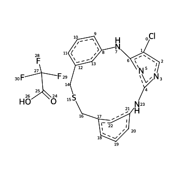 Clc1cnc2nc1Nc1cccc(c1)CSCc1cccc(c1)N2.O=C(O)C(F)(F)F